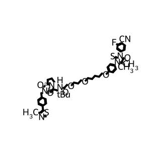 Cc1ncsc1-c1ccc(CNC(=O)[C@@H]2CCCN2C(=O)C(NC(=O)COCCCOCCCCCOc2ccc(N3C(=S)N(c4ccc(C#N)c(F)c4)C(=O)C3(C)C)cc2)C(C)(C)C)cc1